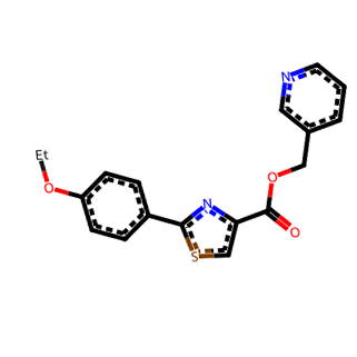 CCOc1ccc(-c2nc(C(=O)OCc3cccnc3)cs2)cc1